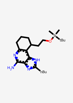 CCCCc1nc2c(N)nc3c(c2[nH]1)C(CCO[Si](C)(C)C(C)(C)C)CCC3